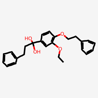 CCOc1cc(C(O)(O)CCc2ccccc2)ccc1OCCc1ccccc1